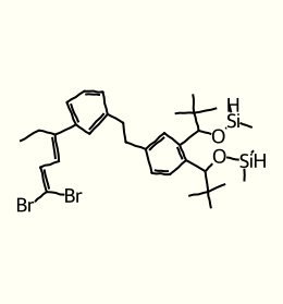 CCC(=CC=C(Br)Br)c1cccc(CCc2ccc(C(O[SiH](C)C)C(C)(C)C)c(C(O[SiH](C)C)C(C)(C)C)c2)c1